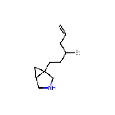 C=CCC(CC)CCC12CNCC1C2